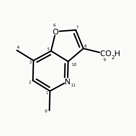 Cc1cc(C)c2occ(C(=O)O)c2n1